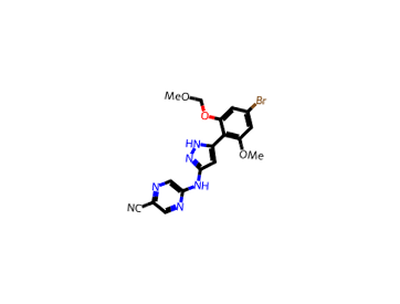 COCOc1cc(Br)cc(OC)c1-c1cc(Nc2cnc(C#N)cn2)n[nH]1